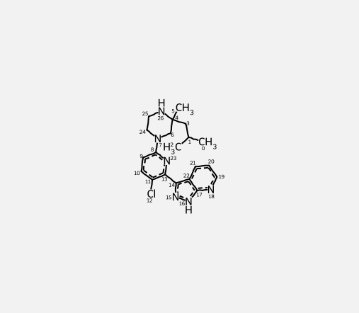 CC(C)CC1(C)CN(c2ccc(Cl)c(-c3n[nH]c4ncccc34)n2)CCN1